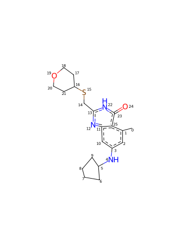 Cc1cc(NC2CCCC2)cc2nc(CSC3CCOCC3)[nH]c(=O)c12